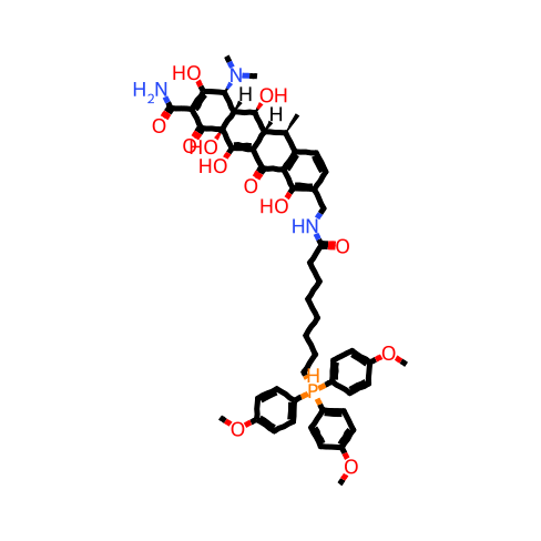 COc1ccc([PH](CCCCCCCC(=O)NCc2ccc3c(c2O)C(=O)C2=C(O)[C@]4(O)C(=O)C(C(N)=O)=C(O)[C@@H](N(C)C)[C@@H]4[C@@H](O)[C@@H]2[C@H]3C)(c2ccc(OC)cc2)c2ccc(OC)cc2)cc1